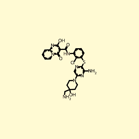 NCC1(O)CCN(c2cnc(Sc3cccc(NC(=O)c4c(O)nc5ccccn5c4=O)c3Cl)c(N)n2)CC1